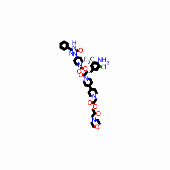 Nc1c(Cl)cc(C[C@@H](OC(=O)N2CCC(n3nc(-c4ccccc4)[nH]c3=O)CC2)C(=O)N2CCC(C3CCN(CC(=O)OCC(=O)CN4CCOCC4)CC3)CC2)cc1C(F)(F)F